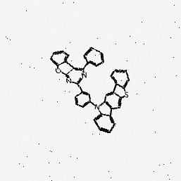 c1ccc(-c2nc(-c3cccc(-n4c5ccccc5c5cc6sc7ccccc7c6cc54)c3)nc3oc4ccccc4c23)cc1